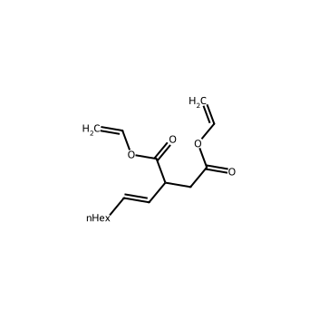 C=COC(=O)CC(C=CCCCCCC)C(=O)OC=C